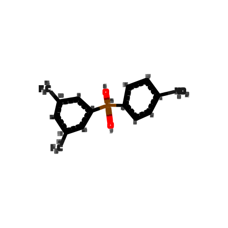 O=[N+]([O-])c1ccc(S(=O)(=O)c2cc(C(F)(F)F)cc(C(F)(F)F)c2)cc1